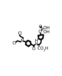 O=C(N[C@H](Cc1ccc(OP(=O)(O)O)cc1)C(=O)O)c1ccc(N(CCCl)CCCl)cc1